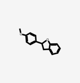 COc1ccc(C2Cc3ccccc3O2)cc1